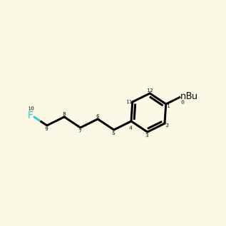 CCCCc1ccc(CCCCCF)cc1